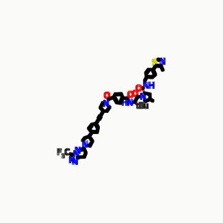 Cc1ncsc1-c1ccc(CNC(=O)[C@@H]2CC(C)CN2C(=O)[C@@H](NC(=O)c2ccc(C(=O)N3CCC(C#Cc4ccc(C5CCN(C6=Nn7c(nnc7C(F)(F)F)CC6)CC5)cc4)CC3)cc2)C(C)(C)C)cc1